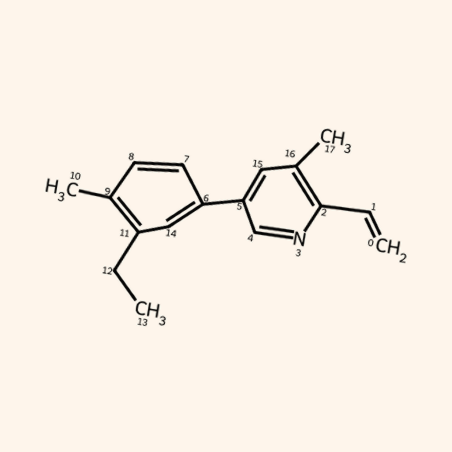 C=Cc1ncc(-c2ccc(C)c(CC)c2)cc1C